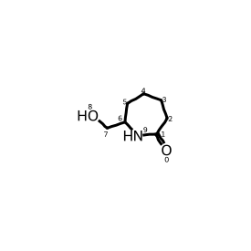 O=C1CCCCC(CO)N1